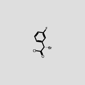 O=C(Cl)[C@@H](Br)c1cccc(F)c1